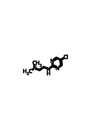 CN(C)CCNc1ncc(Cl)cn1